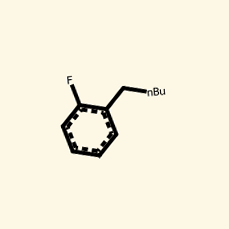 CCCCCc1c[c]ccc1F